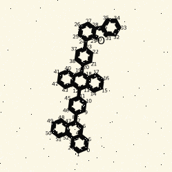 c1ccc2c(c1)cc(-c1ccc(-c3c4ccccc4c(-c4ccc(-c5cccc6c5oc5ccccc56)cc4)c4ccccc34)cc1)c1ccccc12